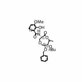 CCCCO[C@H]1[C@H](C)OC(=O)[C@@H](NC(=O)c2nccc(OC)c2O)COC[C@@H]1OCc1ccccc1